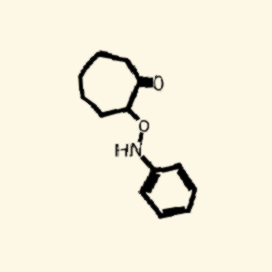 O=C1CCCCCC1ONc1ccccc1